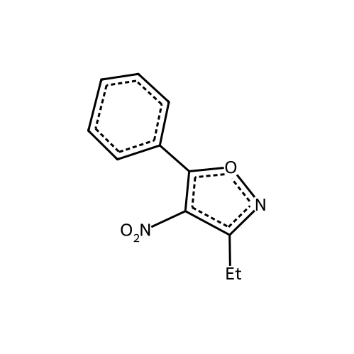 CCc1noc(-c2ccccc2)c1[N+](=O)[O-]